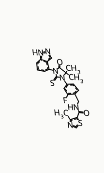 Cc1ncsc1C(=O)NCc1ccc(N2C(=S)N(c3cccc4[nH]ncc34)C(=O)C2(C)C)cc1F